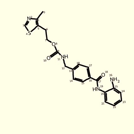 Cc1ncsc1CCOC(=O)NCc1ccc(C(=O)Nc2ccccc2N)cc1